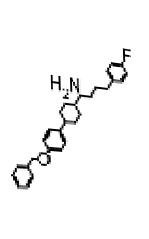 NC(CCCc1ccc(F)cc1)C1CCC(c2ccc(OCc3ccccc3)cc2)CC1